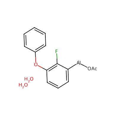 CC(=O)[O][Al][c]1cccc(Oc2ccccc2)c1F.O.O